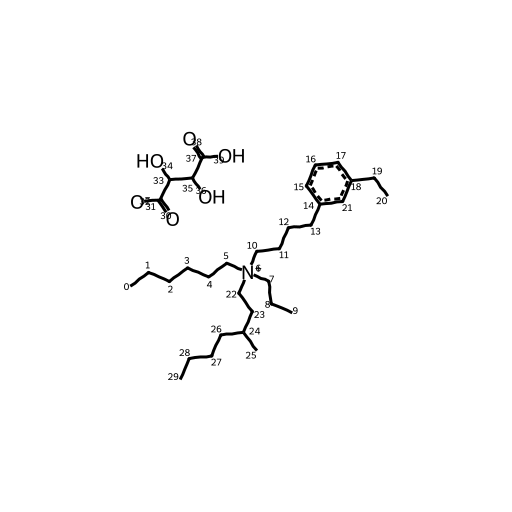 CCCCCC[N+](CCC)(CCCCc1cccc(CC)c1)CCC(C)CCCC.O=C([O-])C(O)C(O)C(=O)O